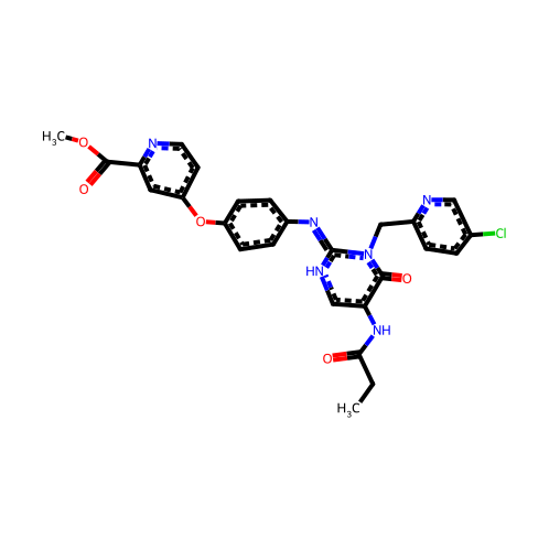 CCC(=O)Nc1c[nH]/c(=N\c2ccc(Oc3ccnc(C(=O)OC)c3)cc2)n(Cc2ccc(Cl)cn2)c1=O